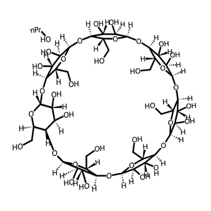 CC[CH]O.OC[C@H]1O[C@@H]2O[C@H]3[C@H](O)[C@@H](O)[C@@H](O[C@H]4[C@H](O)[C@@H](O)[C@@H](O[C@H]5[C@H](O)[C@@H](O)[C@@H](O[C@H]6[C@H](O)[C@@H](O)[C@@H](O[C@H]7[C@H](O)[C@@H](O)[C@@H](O[C@H]8[C@H](O)[C@@H](O)[C@@H](O[C@H]1[C@H](O)[C@H]2O)O[C@@H]8CO)O[C@@H]7CO)O[C@@H]6CO)O[C@@H]5CO)O[C@@H]4CO)O[C@@H]3CO